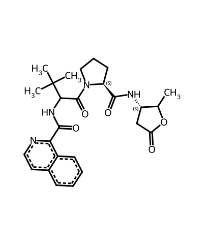 CC1OC(=O)C[C@@H]1NC(=O)[C@@H]1CCCN1C(=O)C(NC(=O)c1nccc2ccccc12)C(C)(C)C